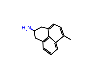 Cc1ccc2c3c(cccc13)CC(N)C2